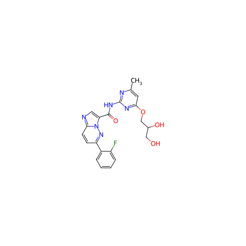 Cc1cc(OCC(O)CO)nc(NC(=O)c2cnc3ccc(-c4ccccc4F)nn23)n1